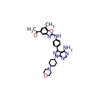 CC(=O)c1cc(C)c2oc(Nc3ccc(-c4nn([C@H]5CC[C@H](N6CCOCC6)CC5)c5ncnc(N)c45)cc3)nc2c1